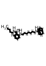 CCCCc1nc2cccc(NCCCCCCCNC34CC5CC(CC(C5)C3)C4)c2c(=O)[nH]1